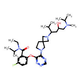 CCN(C(=O)c1cc(F)ccc1Oc1nncnc1N1CCC2(C1)CN(C(CC(O)CN(C)C(C)C)C(C)C)C2)C(C)C